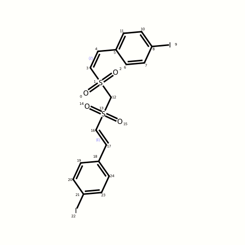 O=S(=O)(/C=C\c1ccc(I)cc1)CS(=O)(=O)/C=C/c1ccc(I)cc1